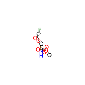 O=C1NC(=O)[C@](Cc2ccc(OCC(=O)c3ccc(F)cc3)cc2)(C(=O)OCc2ccccc2)S1